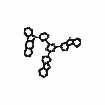 c1cc(-c2nc(-c3ccc4c(c3)sc3ccccc34)nc(-c3ccc4c(c3)sc3ccccc34)n2)cc(-n2c3ccccc3c3cc4ccccc4cc32)c1